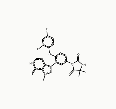 Cn1cc(-c2cc(N3C(=O)NC(C)(C)C3=O)ccc2Oc2ccc(F)cc2F)c2cc[nH]c(=O)c21